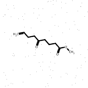 C=CCCC(=O)CCCC(=O)OC